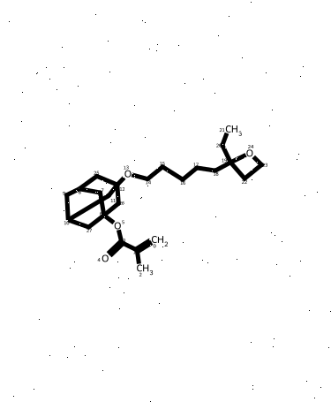 C=C(C)C(=O)OC12CC3CC(CC(OCCCCCC4(CC)CCO4)(C3)C1)C2